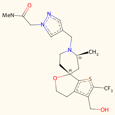 CNC(=O)Cn1cc(CN2CC[C@]3(C[C@@H]2C)OCCc2c3sc(C(F)(F)F)c2CO)cn1